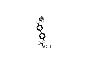 CCCCCCCCC(=O)Oc1ccc(-c2ccc(OC(=O)C(C)CC)cc2)cc1